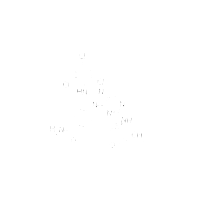 C[C@@H]1COCC[C@H]1Nc1ncc2nc(Nc3c(Cl)cc(Cl)cc3Cl)n([C@H]3CC[C@@H](C(N)=O)CC3)c2n1